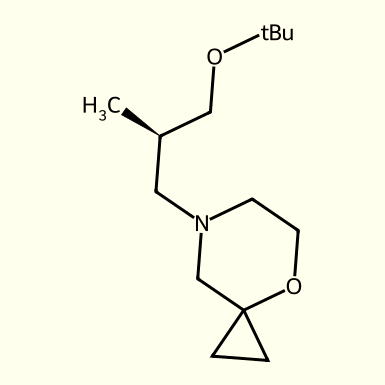 C[C@@H](COC(C)(C)C)CN1CCOC2(CC2)C1